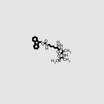 COC(=O)[C@@H](C)NC(=O)[C@@H](C)NC(=O)[C@@H](N)CCCCNC(=O)OCC1c2ccccc2-c2ccccc21